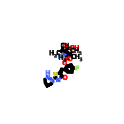 CC(C)[C@](NC(=O)Oc1cc(F)ccc1C=C1SC(N2CCCCN2)=NC1=O)(C(=O)O)C(C)(C)C